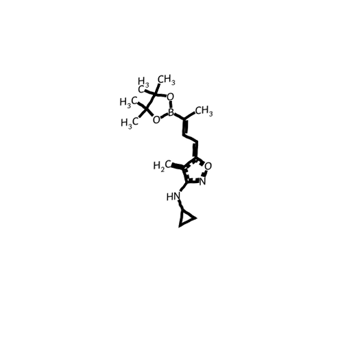 C=c1c(NC2CC2)no/c1=C/C=C(\C)B1OC(C)(C)C(C)(C)O1